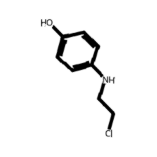 Oc1ccc(NCCCl)cc1